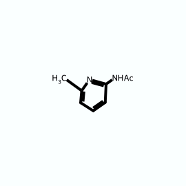 [CH2]C(=O)Nc1cccc(C)n1